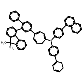 CC1(C)c2ccccc2-c2c(-c3cc(C4=CC=C(N(c5ccc(C6=CC=CCC6)cc5)c5ccc(-c6cccc7ccccc67)cc5)CC=C4)ccc3-c3ccccc3)cccc21